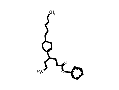 CCCCCCC1CC=C(C(CCC)CCC(=O)Oc2ccccc2)CC1